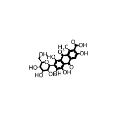 Cc1c(C(=O)O)c(O)cc2c1C(=O)c1c(O)c([C@@H]3O[C@H](CO)[C@@H](O)[C@H](O)[C@H]3O)c(O)c(O)c1C2=O